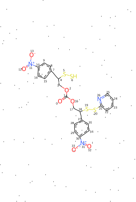 O=C(OCC(SS)c1ccc([N+](=O)[O-])cc1)OCC(SSc1ccccn1)c1ccc([N+](=O)[O-])cc1